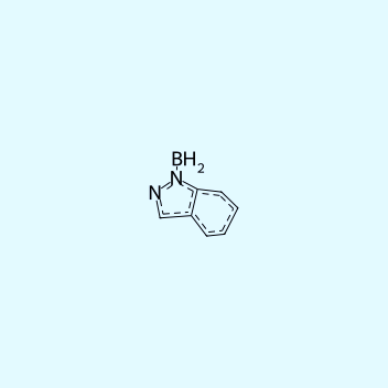 Bn1ncc2ccccc21